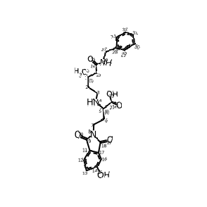 C[C@@H](CCN[C@H](CCN1C(=O)c2ccc(O)cc2C1=O)C(=O)O)CC(=O)NCc1ccccc1